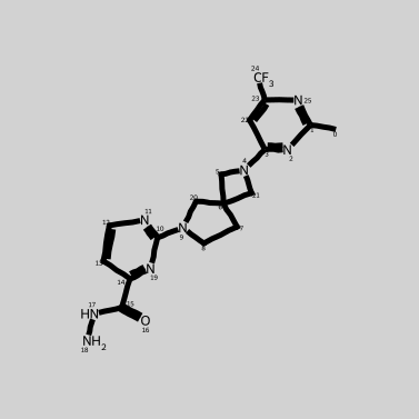 Cc1nc(N2CC3(CCN(c4nccc(C(=O)NN)n4)C3)C2)cc(C(F)(F)F)n1